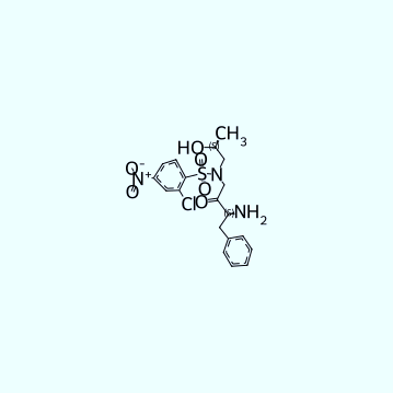 C[C@H](O)CN(CC(=O)[C@@H](N)Cc1ccccc1)S(=O)(=O)c1ccc([N+](=O)[O-])cc1Cl